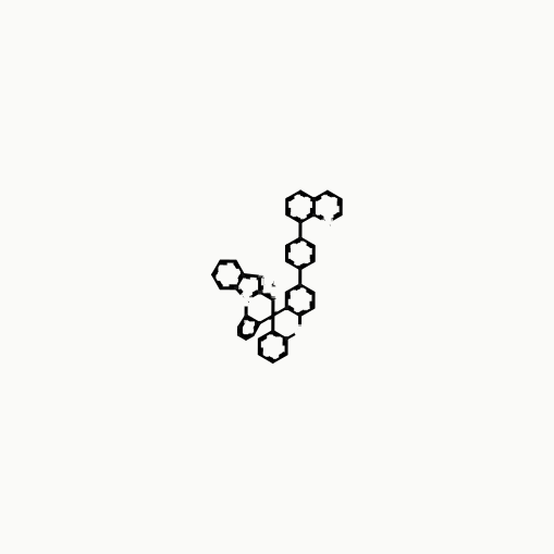 c1ccc2c(c1)Sc1ccc(-c3ccc(-c4cccc5cccnc45)cc3)cc1C21c2ccccc2-n2c3ccccc3c3cccc1c32